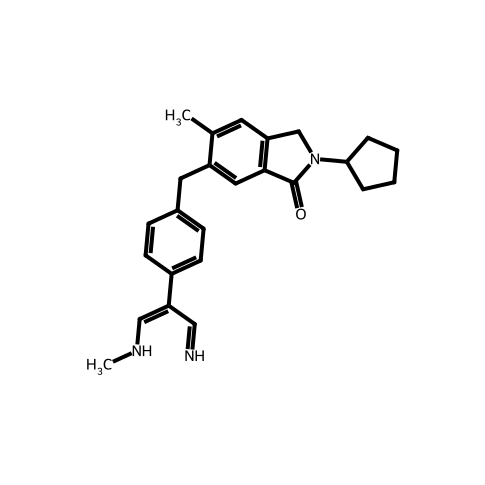 CN/C=C(\C=N)c1ccc(Cc2cc3c(cc2C)CN(C2CCCC2)C3=O)cc1